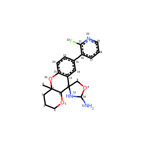 CC12CCCOC1C1(COC(N)N1)c1cc(-c3cccnc3F)ccc1O2